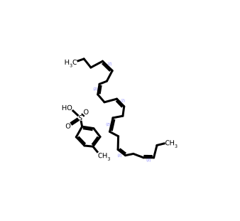 CC/C=C\C/C=C\C/C=C\C/C=C\C/C=C\C/C=C\CCC.Cc1ccc(S(=O)(=O)O)cc1